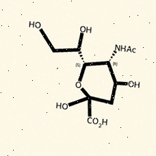 CC(=O)N[C@@H]1C(O)CC(O)(C(=O)O)O[C@@H]1C(O)CO